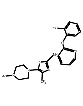 CC(=O)N1CCN(c2sc(Nc3cccnc3Oc3ccccc3C(C)(C)C)nc2C(F)(F)F)CC1